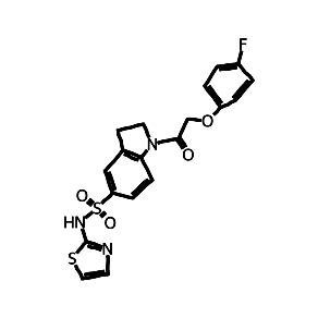 O=C(COc1ccc(F)cc1)N1CCc2cc(S(=O)(=O)Nc3nccs3)ccc21